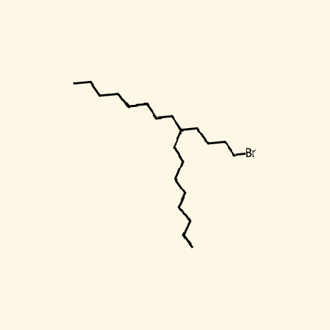 CCCCCCCC[C](CCCCBr)CCCCCCCC